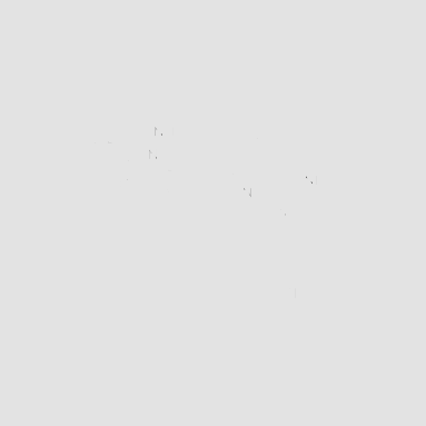 CCCC(=O)N(N)C(=O)c1ccc2c(c1)N(Cc1ccc(Cl)cc1)C(=O)[C@@H](N)CS2